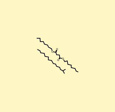 CCCCCCCCCCCCCC(C)C.CCCCCCCCOC(=O)CCC(=O)OCCCCCCCC